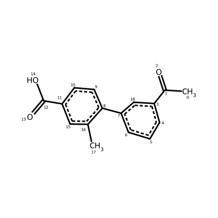 CC(=O)c1cccc(-c2ccc(C(=O)O)cc2C)c1